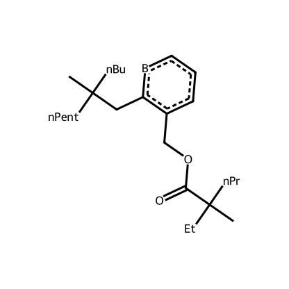 CCCCCC(C)(CCCC)Cc1bcccc1COC(=O)C(C)(CC)CCC